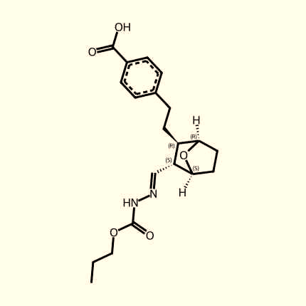 CCCOC(=O)NN=C[C@@H]1[C@@H](CCc2ccc(C(=O)O)cc2)[C@H]2CC[C@@H]1O2